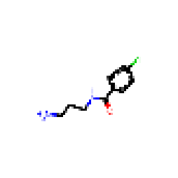 NCCCNC(=O)c1ccc(Cl)cc1